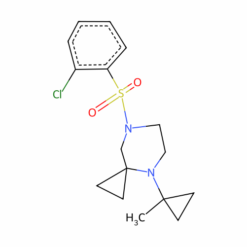 CC1(N2CCN(S(=O)(=O)c3ccccc3Cl)CC23CC3)CC1